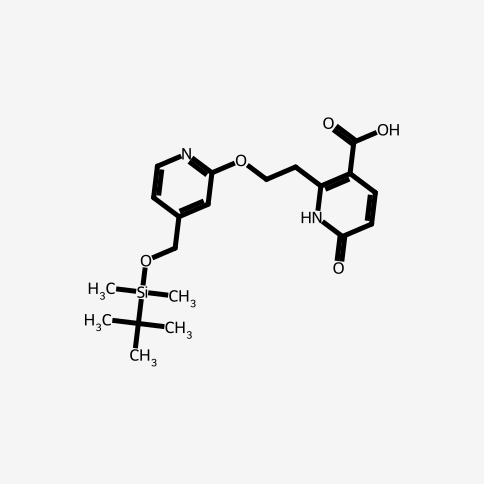 CC(C)(C)[Si](C)(C)OCc1ccnc(OCCc2[nH]c(=O)ccc2C(=O)O)c1